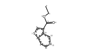 CCOC(=O)c1csc2ccncc12